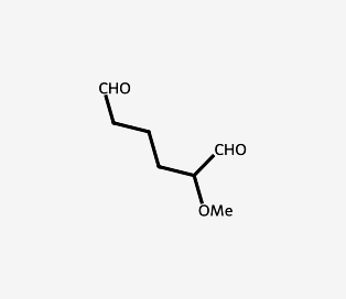 COC(C=O)CCCC=O